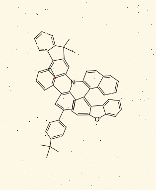 CC(C)(C)c1ccc(-c2ccc(N(c3ccc4c(c3)C(C)(C)c3ccccc3-4)c3ccc4ccccc4c3-c3cccc4oc5ccccc5c34)c(-c3ccccc3)c2)cc1